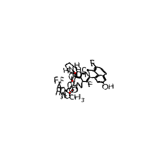 C#Cc1c(F)ccc2cc(O)cc(-c3ncc4c(N5C[C@H]6CC[C@@H](C5)N6C(=O)OCOC(=O)C(C)C)nc(OCC56CCCN5CC5(C6)CC5(F)F)nc4c3F)c12